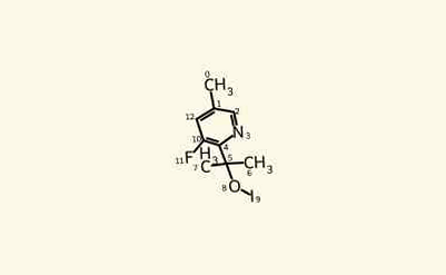 Cc1cnc(C(C)(C)OI)c(F)c1